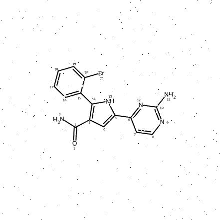 NC(=O)c1cc(-c2ccnc(N)n2)[nH]c1-c1ccccc1Br